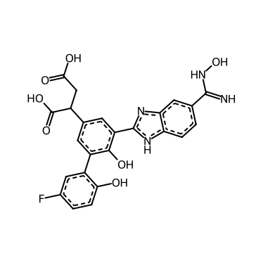 N=C(NO)c1ccc2[nH]c(-c3cc(C(CC(=O)O)C(=O)O)cc(-c4cc(F)ccc4O)c3O)nc2c1